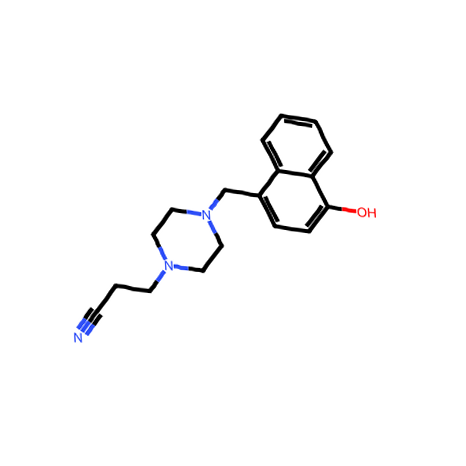 N#CCCN1CCN(Cc2ccc(O)c3ccccc23)CC1